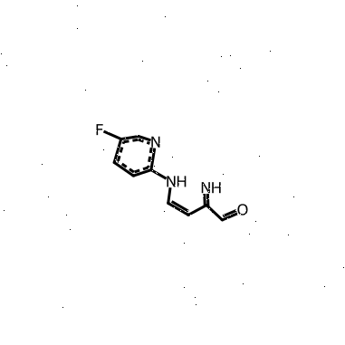 N=C(C=O)/C=C\Nc1ccc(F)cn1